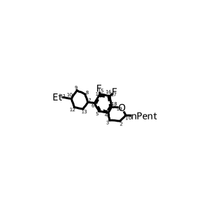 CCCCCC1CCc2cc(C3CCC(CC)CC3)c(F)c(F)c2O1